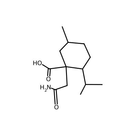 CC1CCC(C(C)C)C(CC(N)=O)(C(=O)O)C1